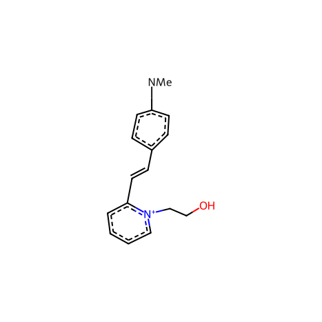 CNc1ccc(/C=C/c2cccc[n+]2CCO)cc1